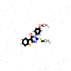 CCSc1nc2sc3c(c2c(=O)n1-c1ccc(OC)cc1)CCCC3